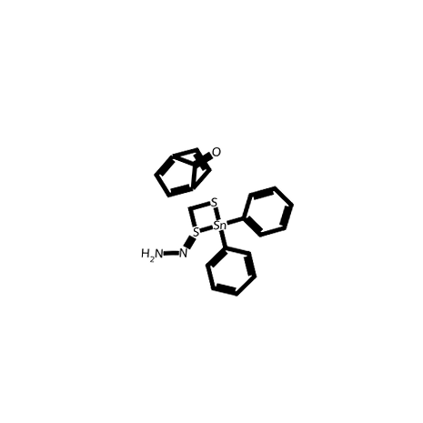 NN=[S]1C[S][Sn]1([c]1ccccc1)[c]1ccccc1.O=C1C2=CC=C1C=C2